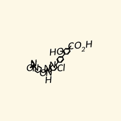 CN(C)C(=O)N1CCC(Oc2nc3nc(-c4ccc(-c5ccc(C(=O)O)cc5O)cc4)c(Cl)cc3[nH]2)CC1